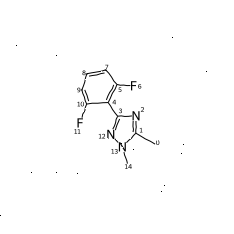 Cc1nc(-c2c(F)cccc2F)nn1C